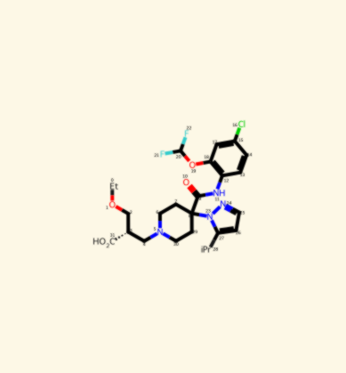 CCOC[C@H](CN1CCC(C(=O)Nc2ccc(Cl)cc2OC(F)F)(n2nccc2C(C)C)CC1)C(=O)O